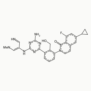 CN/C=C(\C=N)Nc1nc(N)nc(-c2cccc(-n3ccc4cc(C5CC5)cc(F)c4c3=O)c2CO)n1